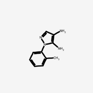 Cc1ccccc1-n1ncc(N)c1N